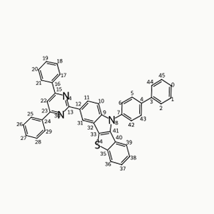 c1ccc(-c2ccc(-n3c4ccc(-c5nc(-c6ccccc6)cc(-c6ccccc6)n5)cc4c4sc5ccccc5c43)cc2)cc1